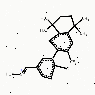 CC1(C)CCC(C)(C)c2cc(C(F)(F)F)c(-c3cc(/C=N/O)ccc3Cl)cc21